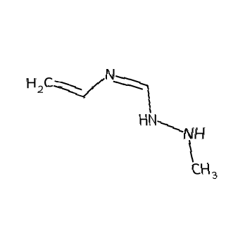 C=C/N=C\NNC